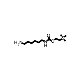 CS(C)(C)CCOC(=O)NCCCCCCN